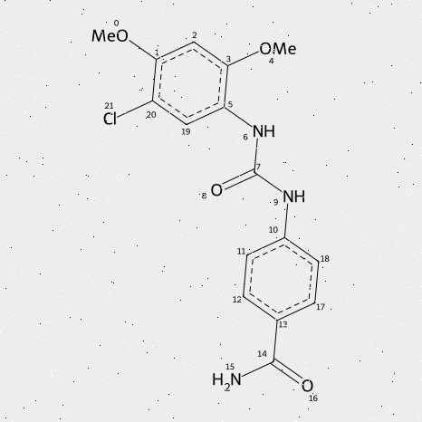 COc1cc(OC)c(NC(=O)Nc2ccc(C(N)=O)cc2)cc1Cl